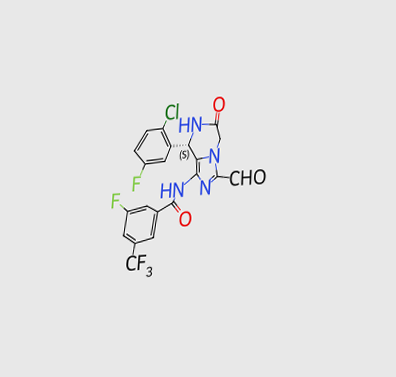 O=Cc1nc(NC(=O)c2cc(F)cc(C(F)(F)F)c2)c2n1CC(=O)N[C@H]2c1cc(F)ccc1Cl